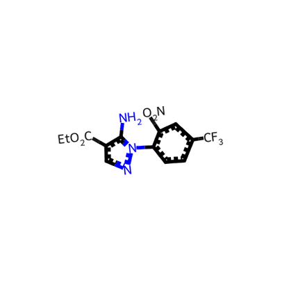 CCOC(=O)c1cnn(-c2ccc(C(F)(F)F)cc2[N+](=O)[O-])c1N